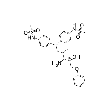 CC(CC(c1ccc(NS(C)(=O)=O)cc1)c1ccc(NS(C)(=O)=O)cc1)C(N)[C@@H](O)COc1ccccc1